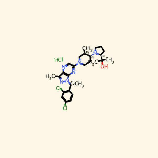 Cc1nn([C@H](C)c2ccc(Cl)cc2Cl)c2nc(N3CC[C@H](N4CCC[C@H]4C(C)(C)O)[C@H](C)C3)cnc12.Cl